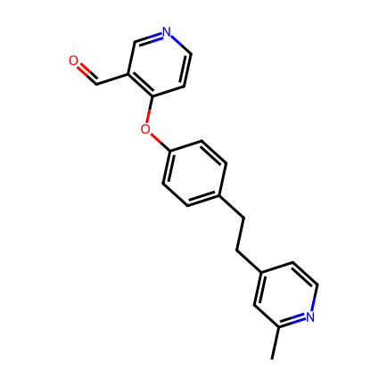 Cc1cc(CCc2ccc(Oc3ccncc3C=O)cc2)ccn1